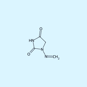 C=NN1CC(=O)NC1=O